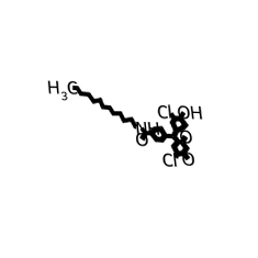 CCCCCCCCCCCCCNC(=O)c1ccc(-c2c3cc(Cl)c(=O)cc-3oc3cc(O)c(Cl)cc23)cc1